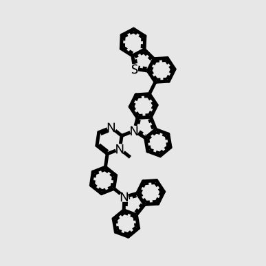 CN1C(c2cccc(-n3c4ccccc4c4ccccc43)c2)=CC=NC1n1c2ccccc2c2cc(-c3cccc4c3sc3ccccc34)ccc21